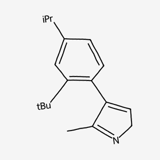 CC1=NCC=C1c1ccc(C(C)C)cc1C(C)(C)C